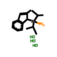 CC1=Cc2ccccc2[CH]1[Zr]([PH2])([CH](C)C)[CH](C)C.Cl.Cl.Cl